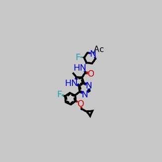 CC(=O)N1CC[C@H](NC(=O)c2c(C)[nH]c3c(-c4cc(F)ccc4OCC4CC4)ncnc23)[C@@H](F)C1